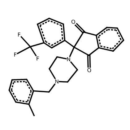 Cc1ccccc1CN1CCN(C2(c3cccc(C(F)(F)F)c3)C(=O)c3ccccc3C2=O)CC1